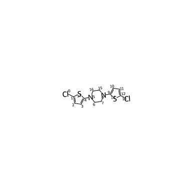 Clc1ccc(N2CCN(c3ccc(Cl)s3)CC2)s1